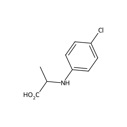 CC(Nc1ccc(Cl)cc1)C(=O)O